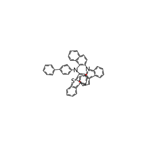 c1ccc(-c2ccc(N(c3c(-n4c5ccccc5c5ccccc54)ccc4ccccc34)c3cccc4c3sc3ccccc34)cc2)cc1